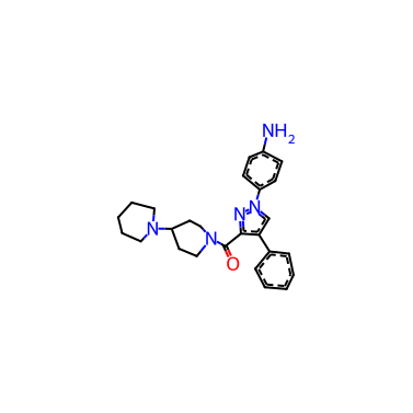 Nc1ccc(-n2cc(-c3ccccc3)c(C(=O)N3CCC(N4CCCCC4)CC3)n2)cc1